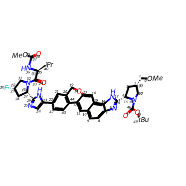 COC[C@H]1C[C@@H](c2nc3ccc4cc5c(cc4c3[nH]2)OCc2cc(-c3cnc([C@@H]4C[C@H](F)CN4C(=O)[C@@H](NC(=O)OC)C(C)C)[nH]3)ccc2-5)N(C(=O)OC(C)(C)C)C1